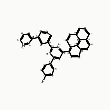 Fc1ccc(-c2cc(-c3ccc4ccc5cccc6ccc3c4c56)nc(-c3cccc(-c4cccnc4)c3)n2)cc1